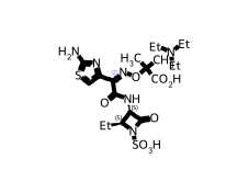 CCN(CC)CC.CC[C@H]1[C@H](NC(=O)/C(=N\OC(C)(C)C(=O)O)c2csc(N)n2)C(=O)N1S(=O)(=O)O